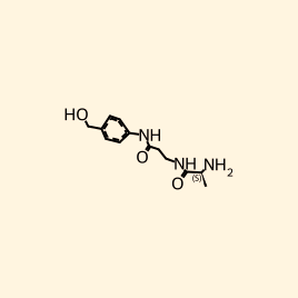 C[C@H](N)C(=O)NCCC(=O)Nc1ccc(CO)cc1